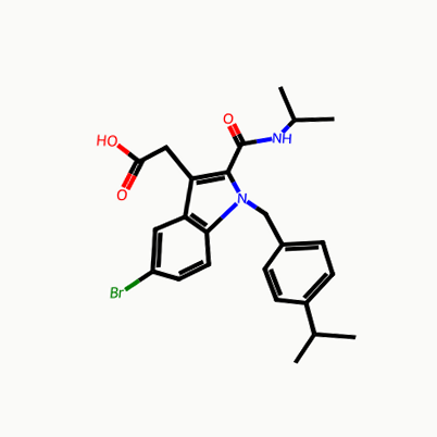 CC(C)NC(=O)c1c(CC(=O)O)c2cc(Br)ccc2n1Cc1ccc(C(C)C)cc1